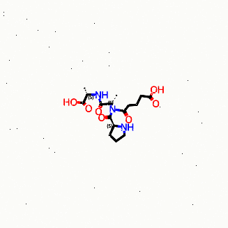 C[C@H](NC(=O)[C@H](C)N(C(=O)CCCC(=O)O)C(=O)[C@@H]1CCCN1)C(=O)O